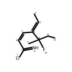 C/C=C(\C=C/C(=N)Cl)C(C)(F)CC